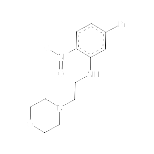 O=[N+]([O-])c1ccc(Br)cc1NCCN1CCOCC1